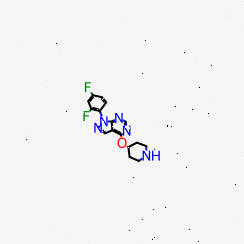 Fc1ccc(-n2ncc3c(OC4CCNCC4)ncnc32)c(F)c1